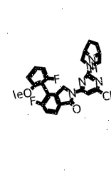 COc1cccc(F)c1-c1c(F)ccc2c1CN(c1cc(C)nc(N3CC4CCC(C3)N4)n1)C2=O